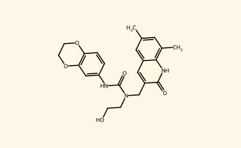 Cc1cc(C)c2[nH]c(=O)c(CN(CCO)C(=O)Nc3ccc4c(c3)OCCO4)cc2c1